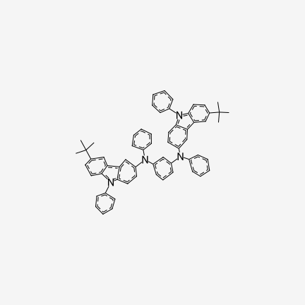 CC(C)(C)c1ccc2c(c1)c1cc(N(c3ccccc3)c3cccc(N(c4ccccc4)c4ccc5c(c4)c4cc(C(C)(C)C)ccc4n5-c4ccccc4)c3)ccc1n2-c1ccccc1